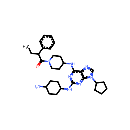 CCC(C(=O)N1CCC(Nc2nc(NC3CCC(N)CC3)nc3c2ncn3C2CCCC2)CC1)c1ccccc1